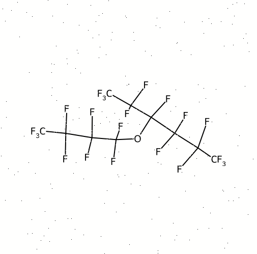 FC(F)(F)C(F)(F)C(F)(F)C(F)(F)OC(F)(C(F)(F)C(F)(F)F)C(F)(F)C(F)(F)C(F)(F)F